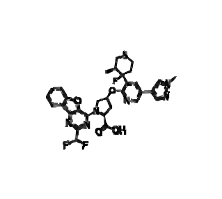 C[C@H]1CSCC[C@]1(F)c1cc(-c2cnn(C)c2)cnc1O[C@H]1C[C@@H](C(=O)O)N(c2nc(C(F)F)nc3c2oc2ccccc23)C1